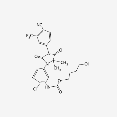 CC1(C)C(=O)N(c2ccc(C#N)c(C(F)(F)F)c2)C(=O)N1c1ccc(Cl)c(NC(=O)OCCCCO)c1